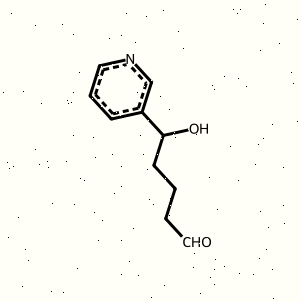 O=CCCCC(O)c1cccnc1